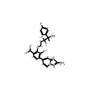 CC(O)(c1ccc(F)cc1)C(F)(F)CCOc1c(C(F)F)ccc(-c2ccn3nc(N)nc3c2)c1F